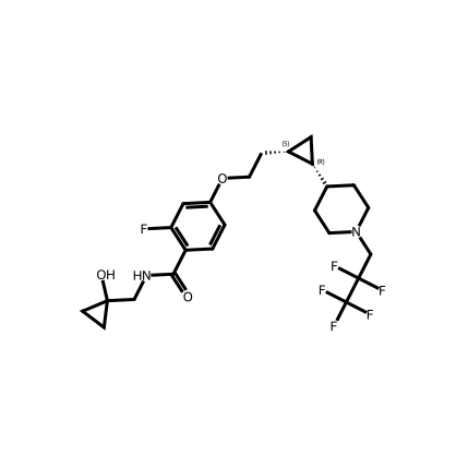 O=C(NCC1(O)CC1)c1ccc(OCC[C@@H]2C[C@@H]2C2CCN(CC(F)(F)C(F)(F)F)CC2)cc1F